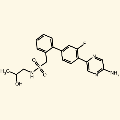 CC(O)CNS(=O)(=O)Cc1ccccc1-c1ccc(-c2cnc(N)cn2)c(F)c1